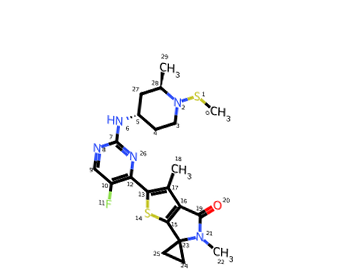 CSN1CC[C@H](Nc2ncc(F)c(-c3sc4c(c3C)C(=O)N(C)C43CC3)n2)C[C@H]1C